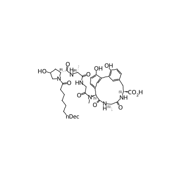 CCCCCCCCCCCCCCCC(=O)N1CC(O)C[C@@H]1C(=O)N[C@H](C)C(=O)NCC(=O)N(C)[C@@H]1C(=O)N[C@@H](C)C(=O)N[C@H](C(=O)O)Cc2ccc(O)c(c2)-c2cc1ccc2O